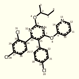 CCC(C)Oc1nc(Oc2cccnc2)c(-c2ccc(Cl)cc2)c(-c2ccc(Cl)cc2Cl)n1